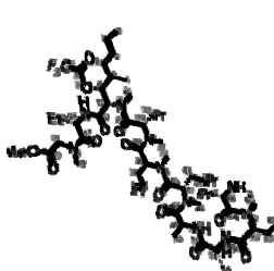 C/C=C/C[C@@H](C)[C@@H](OC(=O)C(F)(F)F)[C@@H](C(=O)N[C@@H](CC)C(=O)N(C)CC(=O)OC)N(C)C(=O)[C@H](C(C)C)N(C)C(=O)[C@H](CC(C)C)N(C)C(=O)[C@H](CC(C)C)N(C)C(=O)C(C)NC(=O)[C@@H](C)NC(=O)[C@H](CC(C)C)N(C)C(=O)[C@@H](N)C(C)C